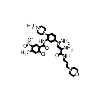 Cc1cc(Cl)c(C(=O)Nc2cc(N(N)/C=C(\N)C(=O)NCCCN3CCOCC3)ccc2N2CCN(C)CC2)cc1[N+](=O)[O-]